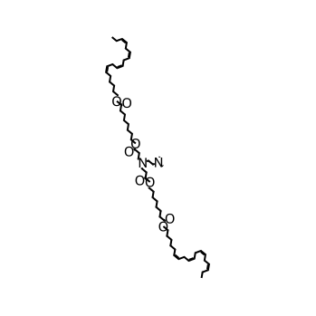 CC/C=C\C/C=C\C/C=C\C/C=C\CCCCCOC(=O)CCCCCCCOC(=O)CCN(CCC(=O)OCCCCCCCC(=O)OCCCCC/C=C\C/C=C\C/C=C\C/C=C\CC)CCN(C)C